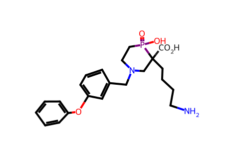 NCCCCC1(C(=O)O)CN(Cc2cccc(Oc3ccccc3)c2)CCP1(=O)O